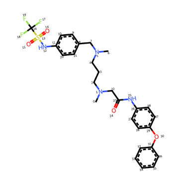 CN(CCCN(C)Cc1ccc(NS(=O)(=O)C(F)(F)F)cc1)CC(=O)Nc1ccc(Oc2ccccc2)cc1